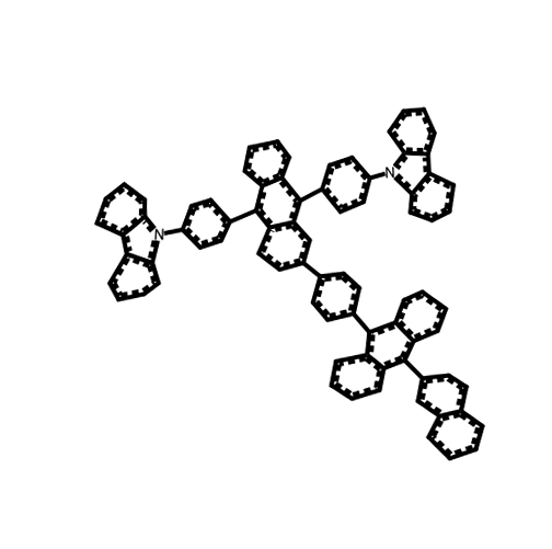 c1ccc2cc(-c3c4ccccc4c(-c4ccc(-c5ccc6c(-c7ccc(-n8c9ccccc9c9ccccc98)cc7)c7ccccc7c(-c7ccc(-n8c9ccccc9c9ccccc98)cc7)c6c5)cc4)c4ccccc34)ccc2c1